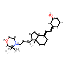 CC12CCC/C(=C\C=C3\CCCC(O)C3)C1CCC2CCCN1CCOCC1(C)C